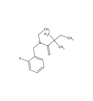 CCN(Cc1ccccc1F)C(=O)C(C)(C)CC